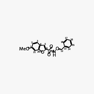 COc1ccc2cc(S(=O)(=O)NOCc3ccccc3)oc2c1